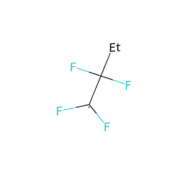 CCC(F)(F)[C](F)F